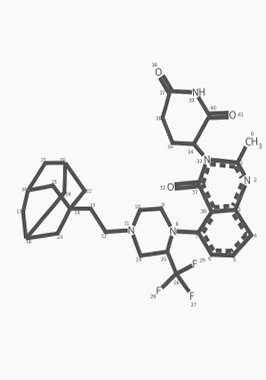 Cc1nc2cccc(N3CCN(CCC45CC6CC(CC(C6)C4)C5)CC3C(F)(F)F)c2c(=O)n1C1CCC(=O)NC1=O